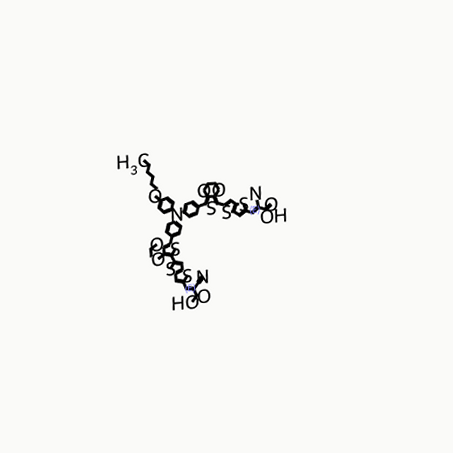 CCCCCCOc1ccc(N(c2ccc(-c3sc(-c4cc5sc(/C=C(\C#N)C(=O)O)cc5s4)c4c3OCCO4)cc2)c2ccc(-c3sc(-c4cc5sc(/C=C(\C#N)C(=O)O)cc5s4)c4c3OCCO4)cc2)cc1